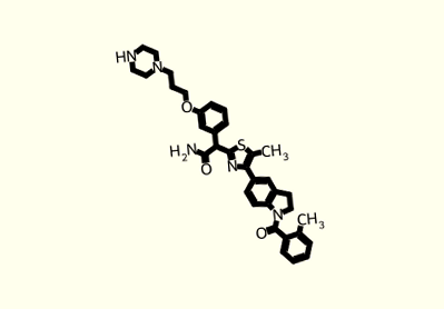 Cc1ccccc1C(=O)N1CCc2cc(-c3nc(C(C(N)=O)c4cccc(OCCCN5CCNCC5)c4)sc3C)ccc21